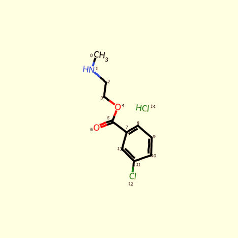 CNCCOC(=O)c1cccc(Cl)c1.Cl